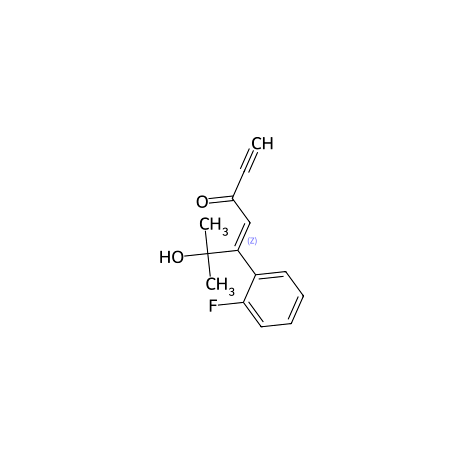 C#CC(=O)/C=C(/c1ccccc1F)C(C)(C)O